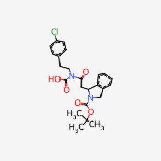 CC(C)(C)OC(=O)N1Cc2ccccc2C1CC(=O)N(CCc1ccc(Cl)cc1)C(=O)O